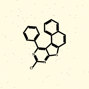 Clc1nc(-c2ccccc2)c2c(n1)sc1ccc3ccccc3c12